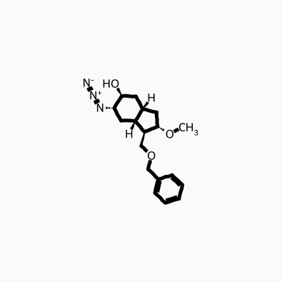 CO[C@H]1C[C@H]2C[C@H](O)[C@@H](N=[N+]=[N-])C[C@H]2[C@@H]1COCc1ccccc1